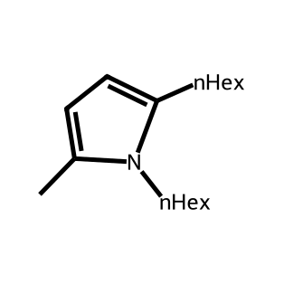 CCCCCCc1ccc(C)n1CCCCCC